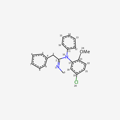 CN=C(Cc1ccccc1)N(c1ccccc1)c1cc(Cl)ccc1OC